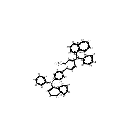 C=C/C=C(\C=C/Cc1ccc(N(C2=CCCc3ccccc32)c2ccccc2)cc1)N(c1ccccc1)c1cccc2ccccc12